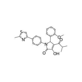 COc1ccccc1C1C(C(=O)C(C)C)=C(O)C(=O)N1c1ccc(-c2csc(C)n2)cc1